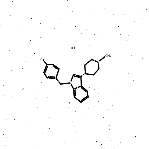 CN1CCC(c2cn(Cc3ccc(C(F)(F)F)cc3)c3ccccc23)CC1.Cl